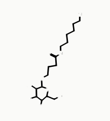 CC1C(OCCCC(=O)NCCCCCCN)OC(CO)C(O)C1O